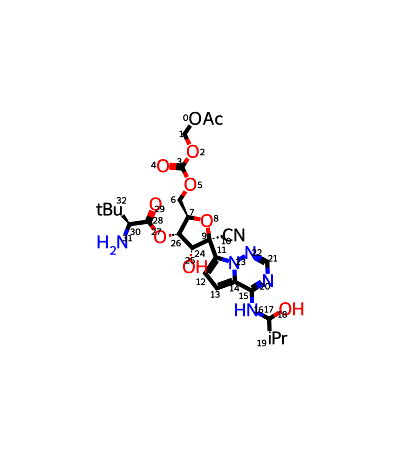 CC(=O)OCOC(=O)OC[C@H]1O[C@@](C#N)(c2ccc3c(NC(O)C(C)C)ncnn23)[C@H](O)[C@@H]1OC(=O)[C@@H](N)C(C)(C)C